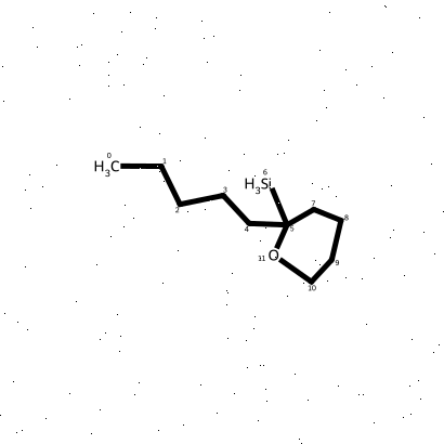 CCCCCC1([SiH3])CCCCO1